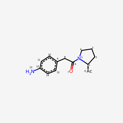 CC(=O)[C@@H]1CCCN1C(=O)Cc1ccc(N)cc1